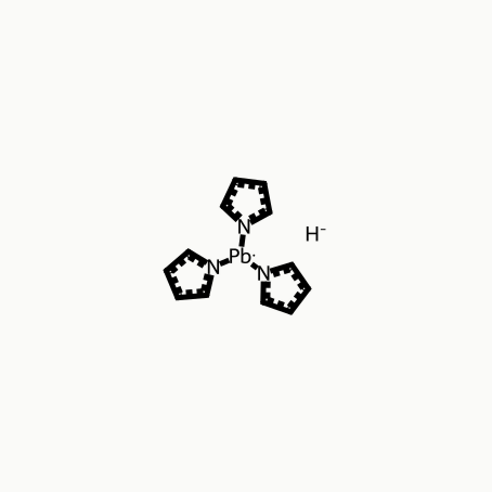 [H-].c1cc[n]([Pb]([n]2cccc2)[n]2cccc2)c1